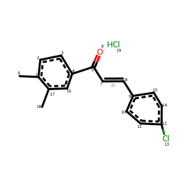 Cc1ccc(C(=O)/C=C/c2ccc(Cl)cc2)cc1C.Cl